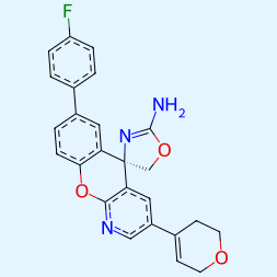 NC1=N[C@]2(CO1)c1cc(-c3ccc(F)cc3)ccc1Oc1ncc(C3=CCOCC3)cc12